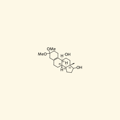 COC1(OC)CCC2=C(CC[C@@H]3[C@@H]2CC[C@]2(C)C(O)CC[C@@H]32)C1.[OH]